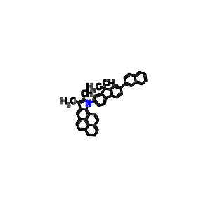 Cc1c(C)n(-c2ccc3c(c2)C(C)(C)c2cc(-c4ccc5ccccc5c4)ccc2-3)c2c1cc1ccc3cccc4ccc2c1c34